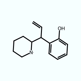 C=CC(c1ccccc1O)C1CCCC[N]1